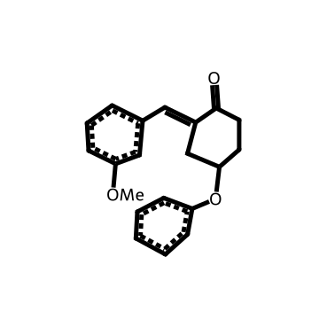 COc1cccc(C=C2CC(Oc3ccccc3)CCC2=O)c1